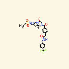 C=CS(=O)(=O)NC[C@@H]1C[C@H]2CN(C(=O)c3ccc(CC(=O)NCc4ccc(C(F)(F)F)cc4)cc3)CC(=O)N2C1